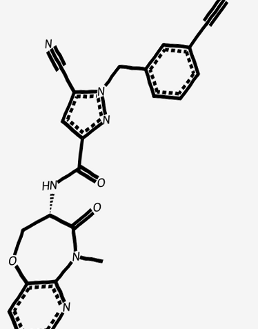 C#Cc1cccc(Cn2nc(C(=O)N[C@H]3COc4cccnc4N(C)C3=O)cc2C#N)c1